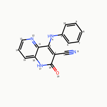 N#Cc1c(Nc2ccccc2)c2ncccc2[nH]c1=O